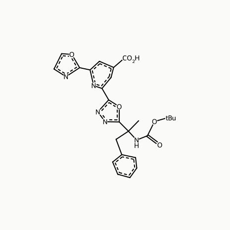 CC(C)(C)OC(=O)NC(C)(Cc1ccccc1)c1nnc(-c2cc(C(=O)O)cc(-c3ncco3)n2)o1